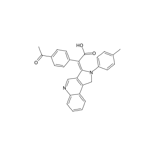 CC(=O)c1ccc(C(C(=O)O)=C2c3cnc4ccccc4c3CN2c2ccc(C)cc2)cc1